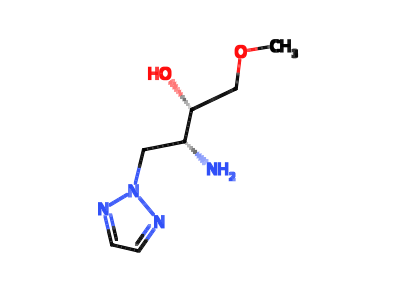 COC[C@@H](O)[C@H](N)Cn1nccn1